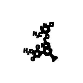 Cc1nnc(Cl)cc1OCc1cn2cc(C3CC3)cc(N3CC(=O)N(C)C3=O)c2n1